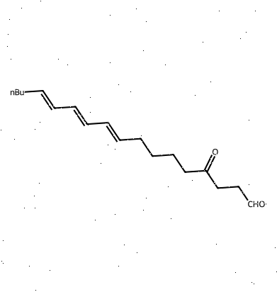 CCCCC=CC=CC=CCCCCC(=O)CC[C]=O